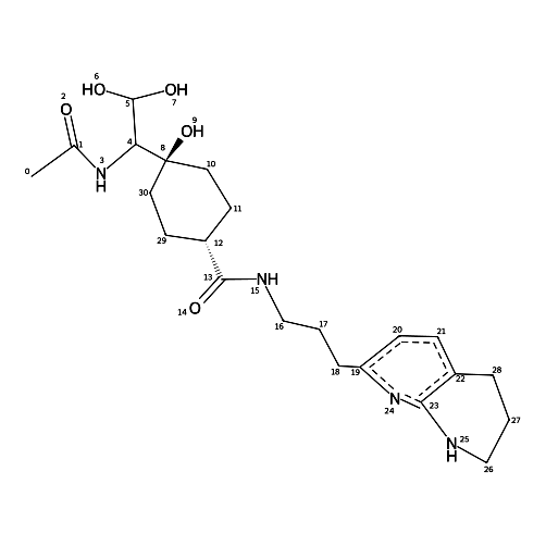 CC(=O)NC(C(O)O)[C@]1(O)CC[C@H](C(=O)NCCCc2ccc3c(n2)NCCC3)CC1